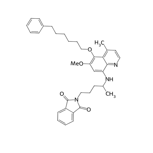 COc1cc(NC(C)CCCN2C(=O)c3ccccc3C2=O)c2nccc(C)c2c1OCCCCCCc1ccccc1